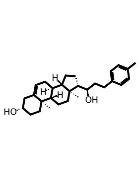 Cc1ccc(CC[C@@H](O)[C@H]2CC[C@H]3[C@@H]4CC=C5C[C@@H](O)CC[C@]5(C)[C@H]4CC[C@]23C)cc1